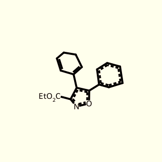 CCOC(=O)c1noc(-c2ccccc2)c1C1=CCCC=C1